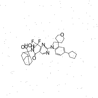 O=C(NC1(C(=O)O)C2CC3CC(C2)CC1C3)c1cnc(N2CC3(CCOCC3)c3cc(C4CCCC4)ccc32)nc1C(F)(F)F